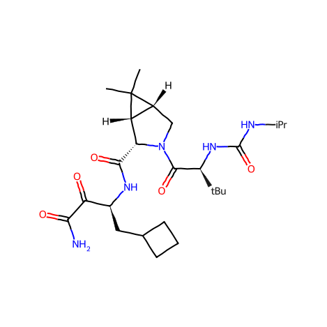 CC(C)NC(=O)N[C@H](C(=O)N1C[C@@H]2[C@H]([C@H]1C(=O)N[C@@H](CC1CCC1)C(=O)C(N)=O)C2(C)C)C(C)(C)C